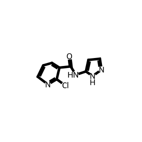 O=C(Nc1ccn[nH]1)c1cccnc1Cl